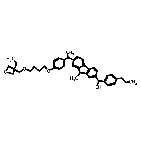 CCCc1ccc(C(C)c2ccc3c(c2)C(C)c2cc(C(C)c4ccc(OCCCCOCC5(CC)COC5)cc4)ccc2-3)cc1